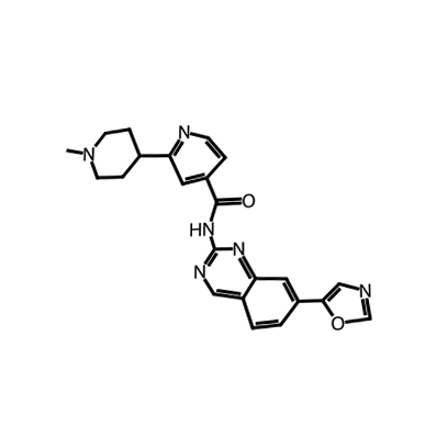 CN1CCC(c2cc(C(=O)Nc3ncc4ccc(-c5cnco5)cc4n3)ccn2)CC1